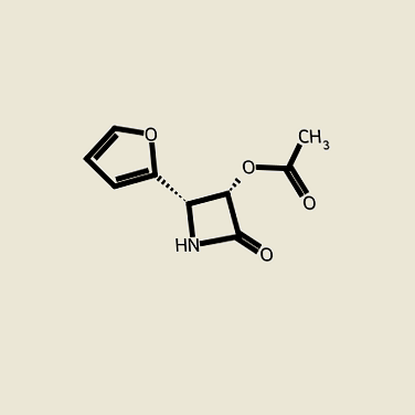 CC(=O)O[C@@H]1C(=O)N[C@@H]1c1ccco1